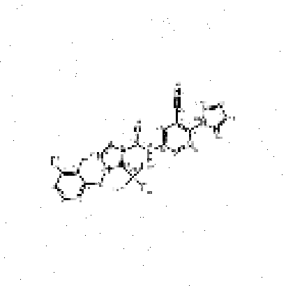 Cc1c(F)cccc1Cn1ncc(C(=O)Nc2cnc(-n3nccn3)c(C#N)c2)c1C(F)(F)F